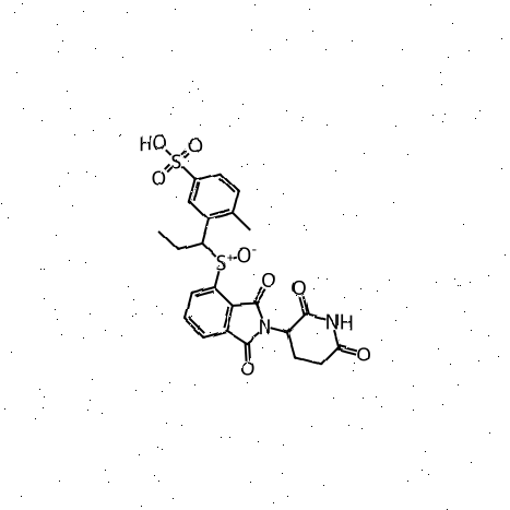 CCC(c1cc(S(=O)(=O)O)ccc1C)[S+]([O-])c1cccc2c1C(=O)N(C1CCC(=O)NC1=O)C2=O